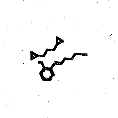 C(OCC1CO1)C1CO1.CCCCCCCCCCCCCC=Cc1ccccc1O